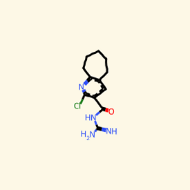 N=C(N)NC(=O)c1cc2c(nc1Cl)CCCCC2